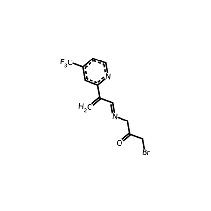 C=C(C=NCC(=O)CBr)c1cc(C(F)(F)F)ccn1